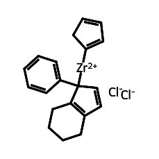 C1=CC[C]([Zr+2][C]2(c3ccccc3)C=CC3=C2CCCC3)=C1.[Cl-].[Cl-]